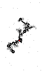 Cc1c(-c2ccc(-c3cnc4cccc(C(=O)Nc5nc6ccccc6s5)c4c3)nc2C(=O)O)cnn1CC12CC3(C)CC(C)(C1)CC(OCCN(CCS(=O)(=O)O)C(=O)OCc1ccc(N(C(N)=O)C(=O)[C@H](CCCN)NC(=O)[C@@H](NC(=O)CCCCCN4C(=O)C=CC4=O)C(C)C)cc1)(C3)C2